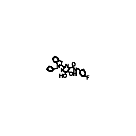 O=C(NCc1ccc(F)cc1)c1nc(C2Cc3ccccc3N2Cc2ccccc2)nc(O)c1O